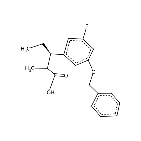 CC[C@@H](c1cc(F)cc(OCc2ccccc2)c1)C(C)C(=O)O